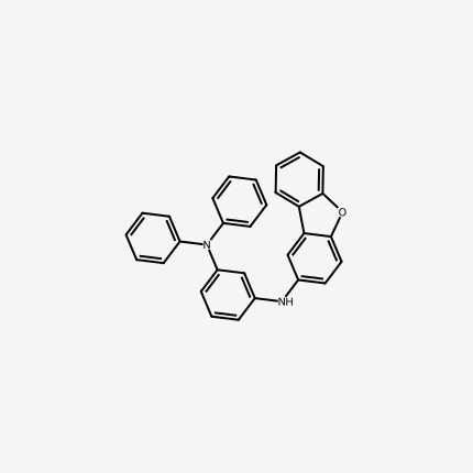 c1ccc(N(c2ccccc2)c2cccc(Nc3ccc4oc5ccccc5c4c3)c2)cc1